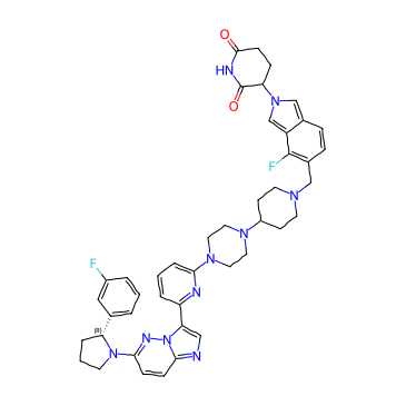 O=C1CCC(n2cc3ccc(CN4CCC(N5CCN(c6cccc(-c7cnc8ccc(N9CCC[C@@H]9c9cccc(F)c9)nn78)n6)CC5)CC4)c(F)c3c2)C(=O)N1